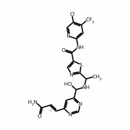 CC(NC(O)c1cc(/C=C/C(N)=O)ncn1)c1ncc(C(=O)Nc2cc(C(F)(F)F)c(Cl)cn2)s1